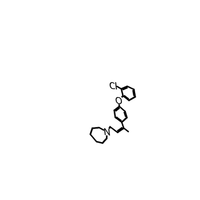 CC(=CCN1CCCCCC1)c1ccc(Oc2ccccc2Cl)cc1